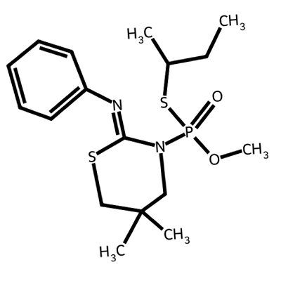 CCC(C)SP(=O)(OC)N1CC(C)(C)CSC1=Nc1ccccc1